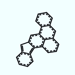 C1=c2ccccc2=c2c1cc1c3ccccc3cc3cccc2c31